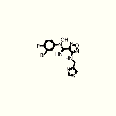 N=C(c1nonc1NCc1cscn1)N(O)c1ccc(F)c(Br)c1